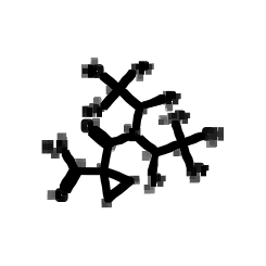 CCCC(O)(CCC)[C@@H](C(C)C)N(C(=O)C1(C(N)=O)CC1)[C@H](C(C)C)C(O)(CCC)CCC